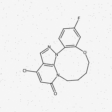 O=c1cc(Cl)c2cnn3c2n1CCCCOc1cc(F)ccc1-3